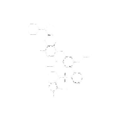 CCCCc1nc(C)c(CC(=O)N(C)C2CCOCC2)c(=O)n1Cc1ccc(-c2ccccc2S(=O)(=O)N(COC)c2noc(C)c2C)c(OCCC)c1